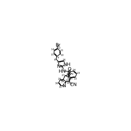 CC1(C(=O)Nc2nc(Cc3ccc(Br)cc3)c[nH]2)CC2(C#N)c3ccccc3C1c1cccnc12